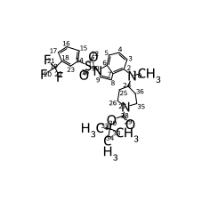 CN(c1cccc2c1ccn2S(=O)(=O)c1cccc(C(F)(F)F)c1)C1CCN(C(=O)OC(C)(C)C)CC1